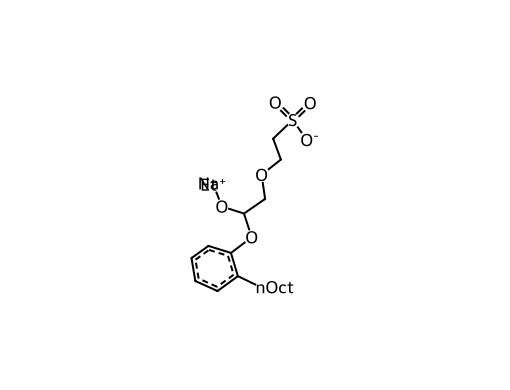 CCCCCCCCc1ccccc1OC(COCCS(=O)(=O)[O-])OCC.[Na+]